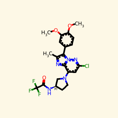 COc1ccc(-c2c(C)nc3c(N4CC[C@@H](NC(=O)C(F)(F)F)C4)cc(Cl)nn23)cc1OC